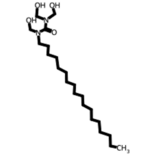 CCCCCCCCCCCCCCCCCCN(CO)C(=O)N(CO)CO